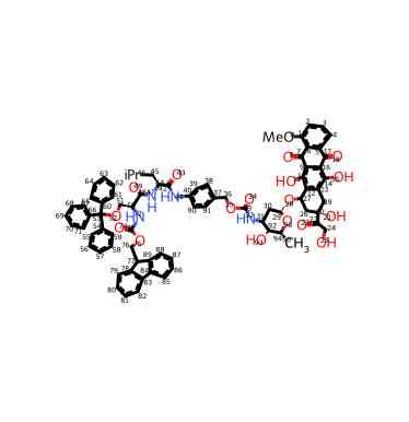 COc1cccc2c1C(=O)c1c(O)c3c(c(O)c1C2=O)C[C@@](O)(C(=O)CO)CC3O[C@H]1CC(NC(=O)OCc2ccc(NC(=O)[C@H](CC(C)C)NC(=O)[C@H](COC(c3ccccc3)(c3ccccc3)c3ccccc3)NC(=O)OCC3c4ccccc4-c4ccccc43)cc2)[C@H](O)[C@H](C)O1